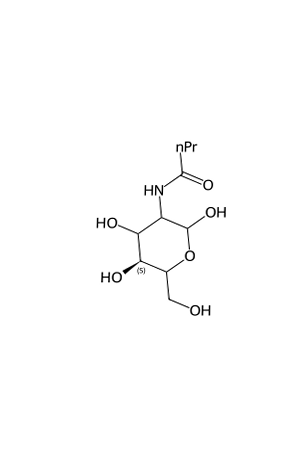 CCCC(=O)NC1C(O)OC(CO)[C@@H](O)C1O